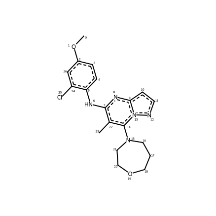 COc1ccc(Nc2nc3ccnn3c(N3CCCOCC3)c2C)c(Cl)c1